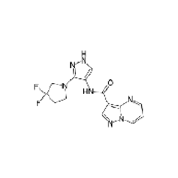 O=C(Nc1c[nH]nc1N1CCC(F)(F)C1)c1cnn2cccnc12